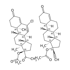 C#C[C@]1(OC(C)=O)CC[C@H]2[C@@H]3CCC4=CC(=O)CC[C@@H]4[C@H]3CC[C@@]21C.CC(=O)O[C@]1(C(C)=O)CC[C@H]2[C@@H]3C=C(Cl)C4=CC(=O)CC[C@]4(C)[C@H]3CC[C@@]21C